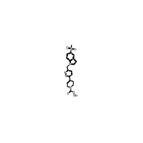 CC(C)(C)OC(=O)N1CC=C(c2ccc(Cn3ccc4cc(S(C)(=O)=O)ccc43)nn2)CC1